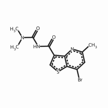 Cc1cc(Br)c2scc(C(=O)NC(=O)N(C)C)c2n1